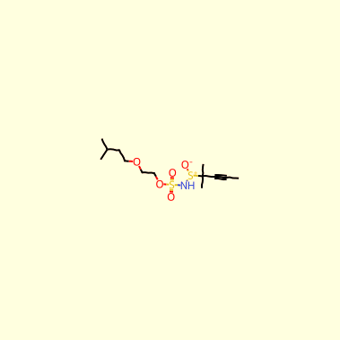 CC#CC(C)(C)[S+]([O-])NS(=O)(=O)OCCOCCC(C)C